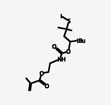 C=C(C)C(=O)OCCNC(=O)OC(CC(C)(C)SI)C(C)(C)C